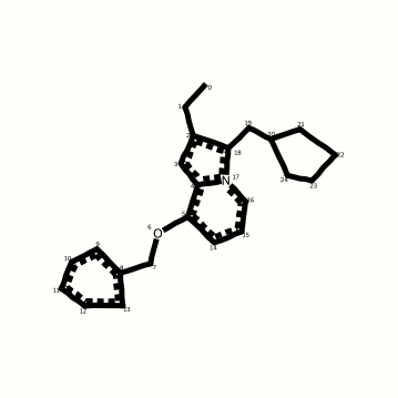 CCc1cc2c(OCc3ccccc3)cccn2c1CC1CCCC1